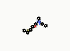 c1ccc(-c2ccc(-c3nc(-c4ccccc4)nc(-c4ccc5c(c4)oc4cc(-c6ccc7c(c6)sc6c(-c8ccccc8)cccc67)ccc45)n3)cc2)cc1